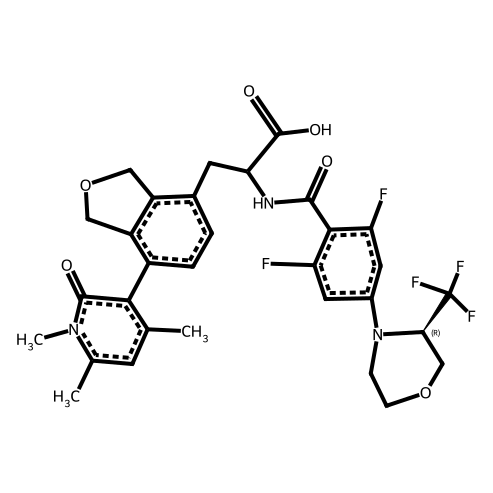 Cc1cc(C)n(C)c(=O)c1-c1ccc(CC(NC(=O)c2c(F)cc(N3CCOC[C@@H]3C(F)(F)F)cc2F)C(=O)O)c2c1COC2